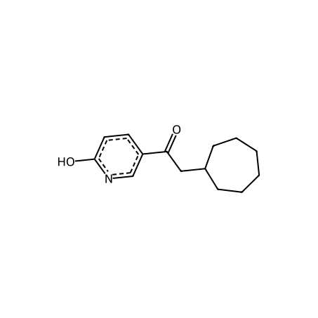 O=C(CC1CCCCCC1)c1ccc(O)nc1